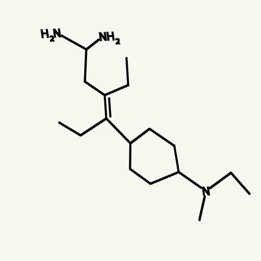 CC/C(CC(N)N)=C(/CC)C1CCC(N(C)CC)CC1